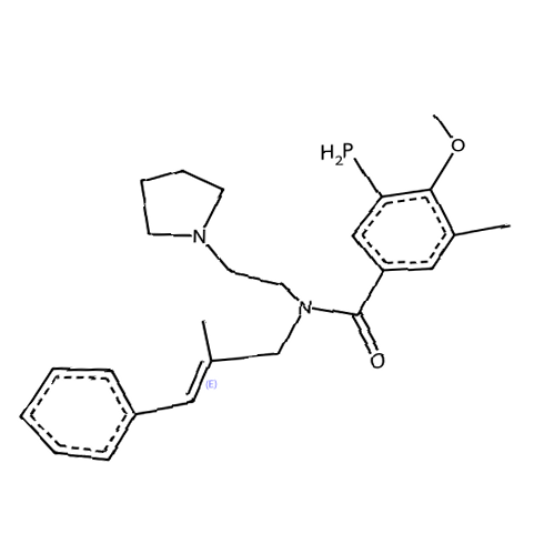 COc1c(C)cc(C(=O)N(CCN2CCCC2)C/C(C)=C/c2ccccc2)cc1P